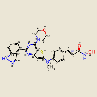 CN(c1ccc(/C=C/C(=O)NO)cc1)c1cc2nc(-c3cccc4[nH]ncc34)nc(N3CCOCC3)c2s1